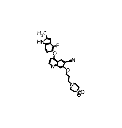 Cc1cc2c(F)c(Oc3ccnc4cc(OCCCN5CCS(=O)(=O)CC5)c(C#N)cc34)ccc2[nH]1